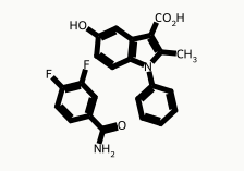 Cc1c(C(=O)O)c2cc(O)ccc2n1-c1ccccc1.NC(=O)c1ccc(F)c(F)c1